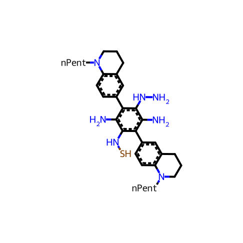 CCCCCN1CCCc2cc(-c3c(N)c(NS)c(-c4ccc5c(c4)CCCN5CCCCC)c(N)c3NN)ccc21